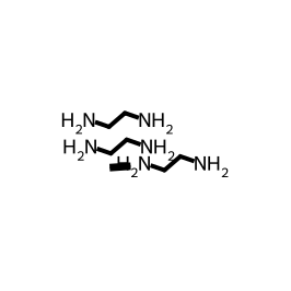 C=C.NCCN.NCCN.NCCN